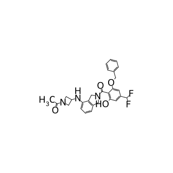 CC(=O)N1CC(Nc2cccc3c2CN(C(=O)c2c(O)cc(C(F)F)cc2OCc2ccccc2)C3)C1